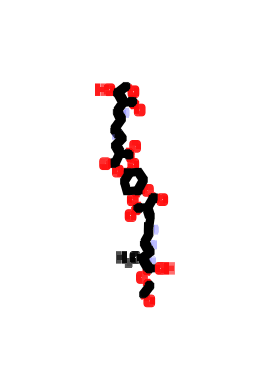 CC(/C=C/C=C/C=C1C(=O)OC2(CCC3(CC2)OC(=O)C(=C/C=C/C=C/C2=C(O)COC2=O)C(=O)O3)OC1=O)=C(/O)OCC=O